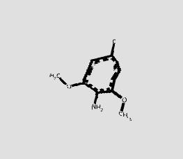 COc1cc(Cl)cc(OC)c1N